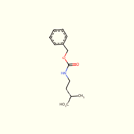 CC(CCNC(=O)OCc1ccccc1)C(=O)O